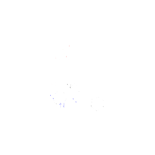 Cc1nc(OCCCOS(C)(=O)=O)c([N+](=O)[O-])c(N2CCc3ccccc3CC2)n1